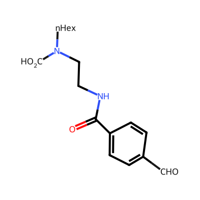 CCCCCCN(CCNC(=O)c1ccc(C=O)cc1)C(=O)O